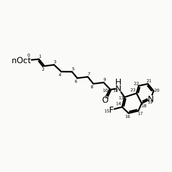 CCCCCCCC/C=C/CCCCCCCC(=O)Nc1c(F)ccc2ncccc12